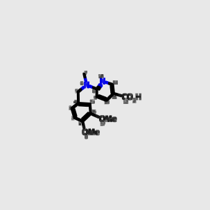 COc1ccc(CN(C)c2ccc(C(=O)O)cn2)cc1OC